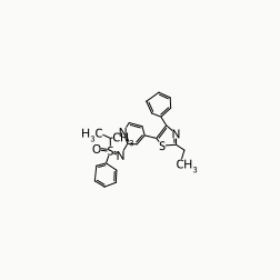 CCc1nc(-c2ccccc2)c(-c2ccnc(N=S(=O)(c3ccccc3)C(C)C)c2)s1